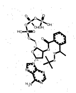 CC(SSC(C)(C)C)c1ccccc1C(=O)OC1C[C@H](n2cnc3c(N)ncnc32)O[C@@H]1COP(=O)(O)OP(=O)(O)OP(=O)(O)O